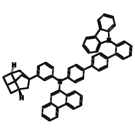 c1cc(N(c2ccc(-c3ccc(-c4ccccc4-n4c5ccccc5c5ccccc54)cc3)cc2)c2cc3ccccc3c3ccccc23)cc(C23C[C@@H]4CC5C[C@@H](C2)C54C3)c1